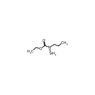 CCCN([SiH3])C(=O)OCC